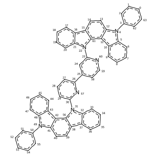 c1ccc(-n2c3ccccc3c3c2ccc2c4ccccc4n(-c4cc(-c5cccc(-n6c7ccccc7c7ccc8c(c9ccccc9n8-c8ccccc8)c76)n5)ccn4)c23)cc1